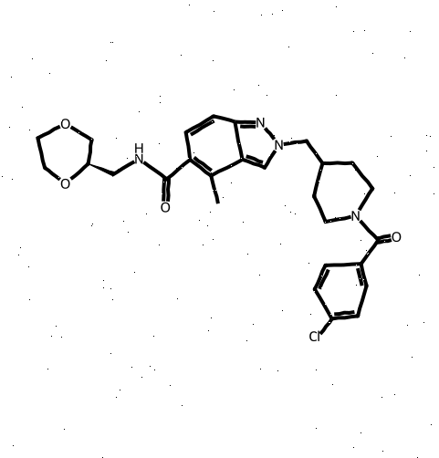 Cc1c(C(=O)NC[C@@H]2COCCO2)ccc2nn(CC3CCN(C(=O)c4ccc(Cl)cc4)CC3)cc12